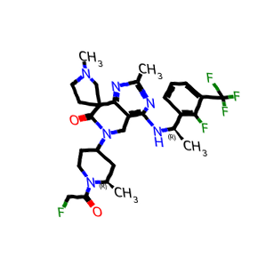 Cc1nc(N[C@H](C)c2cccc(C(F)(F)F)c2F)c2c(n1)C1(CCN(C)C1)C(=O)N(C1CCN(C(=O)CF)[C@H](C)C1)C2